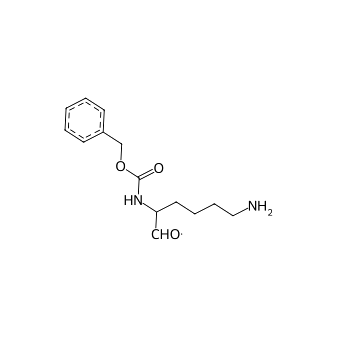 NCCCCC([C]=O)NC(=O)OCc1ccccc1